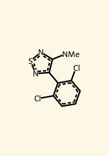 CNc1nsnc1-c1c(Cl)cccc1Cl